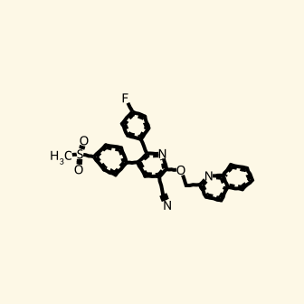 CS(=O)(=O)c1ccc(-c2cc(C#N)c(OCc3ccc4ccccc4n3)nc2-c2ccc(F)cc2)cc1